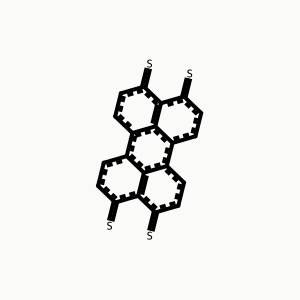 S=c1ccc2c3c(ccc(=S)c1=3)c1ccc(=S)c3c(=S)ccc2c1=3